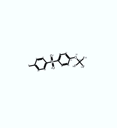 Cc1ccc(S(=O)(=O)c2ccc(OC(F)(F)F)cc2)cc1